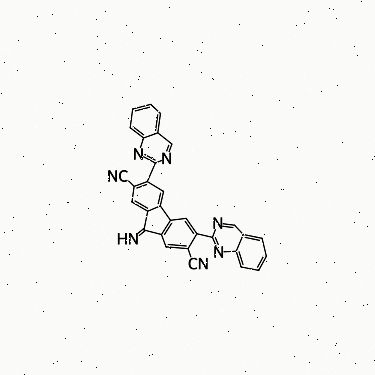 N#Cc1cc2c(cc1-c1ncc3ccccc3n1)-c1cc(-c3ncc4ccccc4n3)c(C#N)cc1C2=N